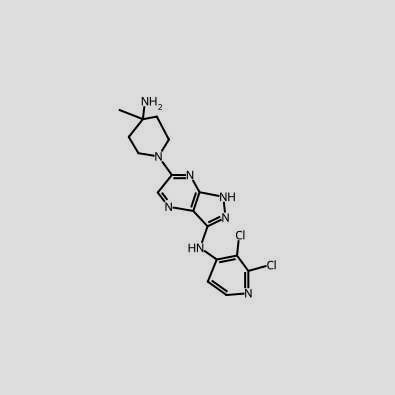 CC1(N)CCN(c2cnc3c(Nc4ccnc(Cl)c4Cl)n[nH]c3n2)CC1